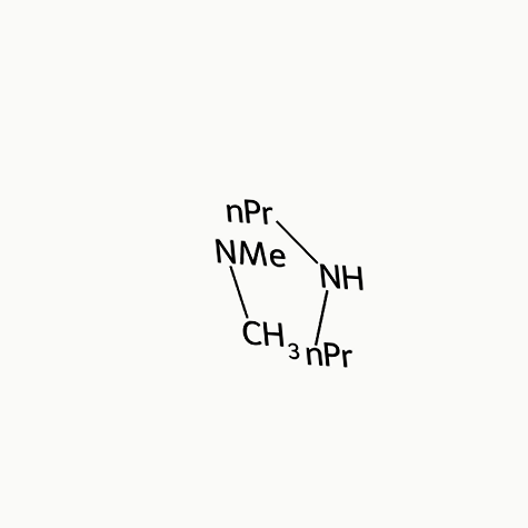 CCCNCCC.CNC